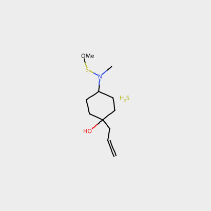 C=CCC1(O)CCC(N(C)SOC)CC1.S